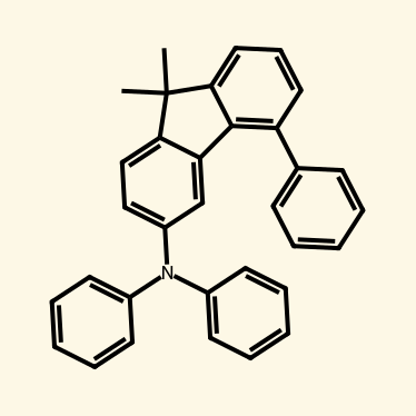 CC1(C)c2ccc(N(c3ccccc3)c3ccccc3)cc2-c2c(-c3ccccc3)cccc21